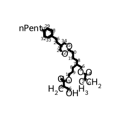 C=C(C)C(=O)OCC(CCCOC(=O)C(=C)CO)CCCC1OCC(CCc2ccc(CCCCC)cc2)CO1